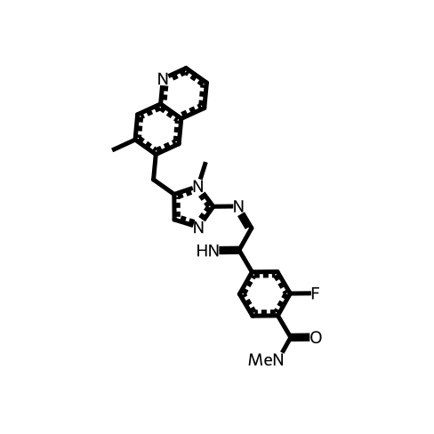 CNC(=O)c1ccc(C(=N)/C=N\c2ncc(Cc3cc4cccnc4cc3C)n2C)cc1F